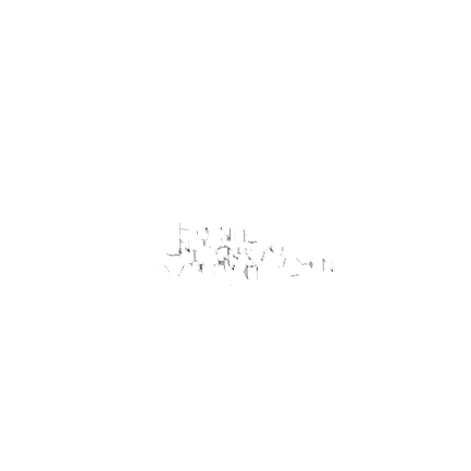 N#Cc1cccc(Oc2ccc(-n3ncc(C(=O)c4[nH]c5ccccc5c4C(=O)O)c3N)c(Cl)c2)c1